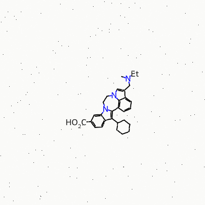 CCN(C)Cc1cn2c3c(cccc13)-c1c(C3CCCCC3)c3ccc(C(=O)O)cc3n1CC2